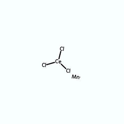 [Cl][Ce]([Cl])[Cl].[Mn]